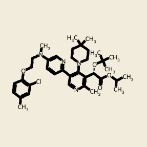 Cc1ccc(OCCN(C)c2ccc(-c3cnc(C)c([C@H](OC(C)(C)C)C(=O)OC(C)C)c3N3CCC(C)(C)CC3)nc2)c(Cl)c1